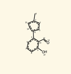 Cc1ccc(-c2cccc(O)c2C=O)cc1